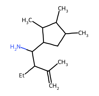 C=C(C)C(CC)C(N)C1CC(C)C(C)C1C